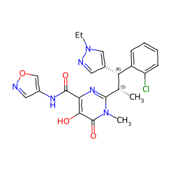 CCn1cc([C@H](c2ccccc2Cl)[C@H](C)c2nc(C(=O)Nc3cnoc3)c(O)c(=O)n2C)cn1